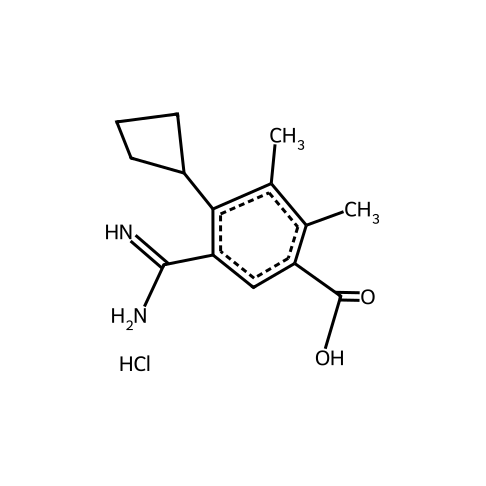 Cc1c(C(=O)O)cc(C(=N)N)c(C2CCC2)c1C.Cl